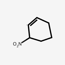 O=[N+]([O-])C1[C]=CCCC1